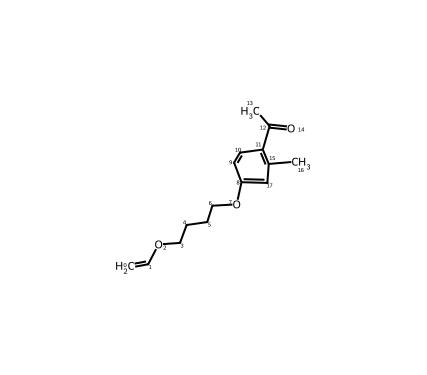 C=COCCCCOc1ccc(C(C)=O)c(C)c1